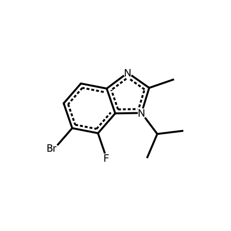 Cc1nc2ccc(Br)c(F)c2n1C(C)C